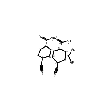 N#C[C@H]1CC[C@H](C(=O)O)CC1.N#C[C@H]1CC[C@H](C(=O)O)CC1.OCO